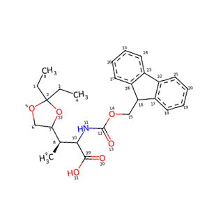 CCC1(CC)OCC([C@H](C)C(NC(=O)OCC2c3ccccc3-c3ccccc32)C(=O)O)O1